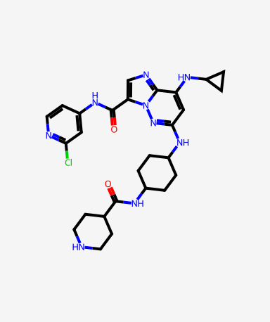 O=C(Nc1ccnc(Cl)c1)c1cnc2c(NC3CC3)cc(NC3CCC(NC(=O)C4CCNCC4)CC3)nn12